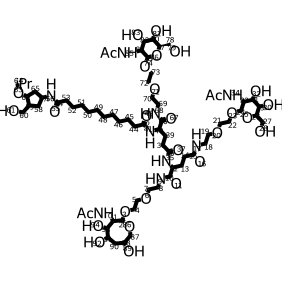 CC(=O)NC1C(OCCOCCNC(=O)C(CCC(=O)NCCOCCOC2OC(CO)C(O)C(O)C2NC(C)=O)NC(=O)CCC(NC(=O)CCCCCCCCCCC(=O)NC2CC(CO)C(OC(C)C)C2)C(=O)NCCOCCOC2O[C@H](CO)C(O)C(O)C2NC(C)=O)OCC(O)CC(O)C1O